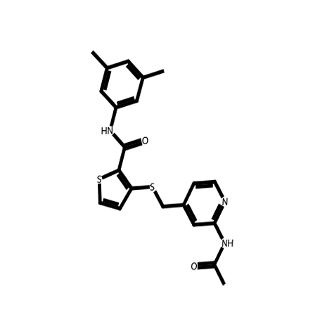 CC(=O)Nc1cc(CSc2ccsc2C(=O)Nc2cc(C)cc(C)c2)ccn1